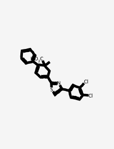 CC1(C(=O)O)CC(c2nc(-c3ccc(Cl)c(Cl)c3)cs2)=CC=C1c1ccccc1